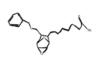 O=C(O)CCCCCCC1C(COCc2ccccc2)C2OC1C1OC21